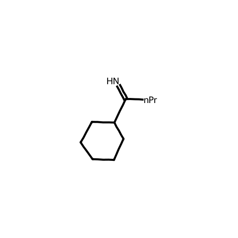 CCCC(=N)C1CCCCC1